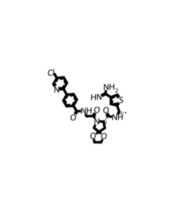 C[C@H](NC(=O)[C@@H]1CC2(CN1C(=O)CNC(=O)c1ccc(-c3ccc(Cl)cn3)cc1)OCCO2)c1cc(C(=N)N)cs1